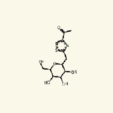 CC(=O)c1csc(CC2OC(CO)C(O)C(O)C2O)n1